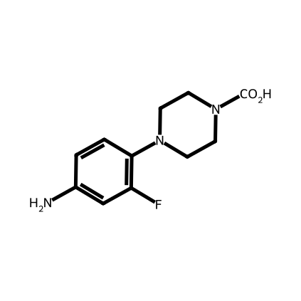 Nc1ccc(N2CCN(C(=O)O)CC2)c(F)c1